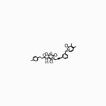 Cc1ccc(CCC(=O)Nc2c(Cl)n(CC#Cc3cccc(Cn4ccc(C)c(C)c4=O)c3)c(=O)n(C)c2=O)cc1